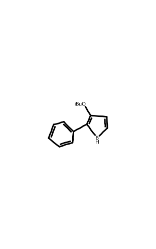 CC(C)COC1=C(c2ccccc2)BC=C1